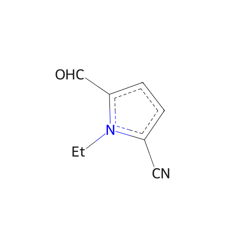 CCn1c(C#N)ccc1C=O